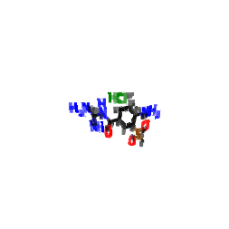 CS(=O)(=O)c1cc(C(=O)NC(=N)N)ccc1N.Cl